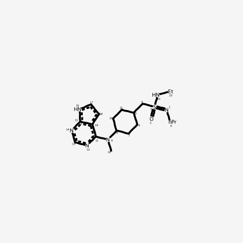 CCCN=S(=O)(CC1CCC(N(C)c2ncnc3[nH]ccc23)CC1)NCC